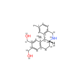 Cc1ccc2c(c1)[C@@H]1c3cc(CO)c(CO)cc3CC[C@H]1NC2